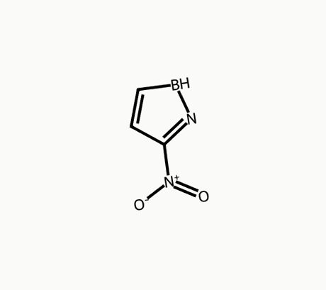 O=[N+]([O-])C1=NBC=C1